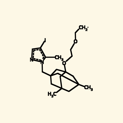 [CH2]COCCOC12CC3(C)CC(C)(CC(Cn4ncc(I)c4C)(C3)C1)C2